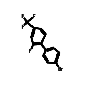 Fc1cc(C(F)(F)F)ccc1-c1ccc(Br)cc1